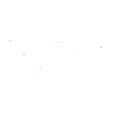 COC(=O)C1(Cc2cccc(CN)c2)CCN(Cc2cncn2Cc2ccc(C#N)cc2)CC1